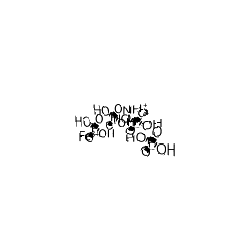 O=P([O-])(O)O.O=P([O-])(O)O.O=P([O-])(O)O.O=P([O-])(O)O.[Fe+3].[NH4+]